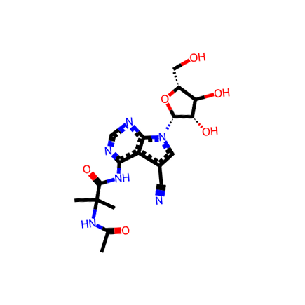 CC(=O)NC(C)(C)C(=O)Nc1ncnc2c1c(C#N)cn2[C@@H]1O[C@H](CO)C(O)[C@@H]1O